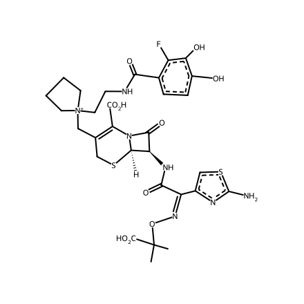 CC(C)(O/N=C(\C(=O)N[C@@H]1C(=O)N2C(C(=O)O)=C(C[N+]3(CCNC(=O)c4ccc(O)c(O)c4F)CCCC3)CS[C@H]12)c1csc(N)n1)C(=O)O